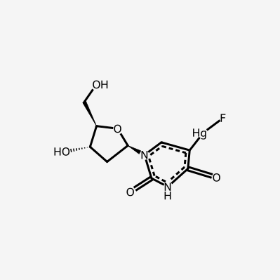 O=c1[nH]c(=O)n([C@H]2C[C@H](O)[C@@H](CO)O2)c[c]1[Hg][F]